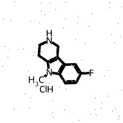 Cl.Cn1c2c(c3cc(F)ccc31)CNCC2